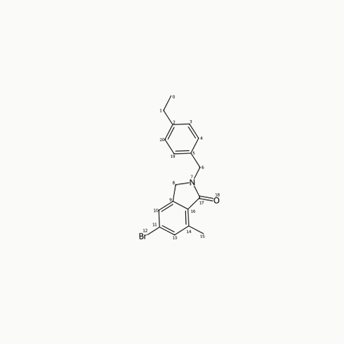 CCc1ccc(CN2Cc3cc(Br)cc(C)c3C2=O)cc1